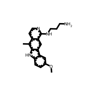 COc1ccc2[nH]c3c(C)c4ccnc(NCCCN)c4cc3c2c1